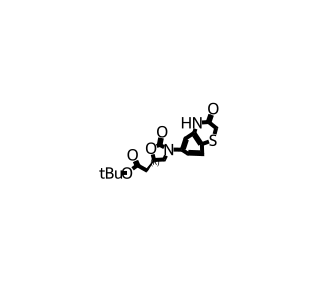 CC(C)(C)OC(=O)C[C@@H]1CN(c2ccc3c(c2)NC(=O)CS3)C(=O)O1